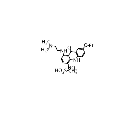 CCOc1ccc2[nH]c3c([N+](=O)[O-])ccc(NCCN(C)C)c3c(=O)c2c1.CS(=O)(=O)O